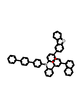 c1ccc(-c2ccc(-c3ccc(N(c4ccc(-c5ccc6oc7ccccc7c6c5)cc4)c4ccccc4-c4cccc(-c5cccc6ccccc56)c4)cc3)cc2)cc1